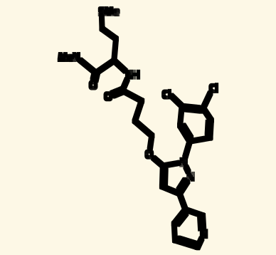 CNC(=O)C(CCSC)NC(=O)CCCOc1cc(-c2cccnc2)nn1-c1ccc(Cl)c(Cl)c1